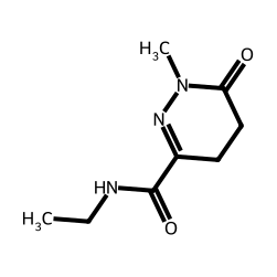 CCNC(=O)C1=NN(C)C(=O)CC1